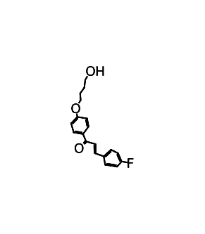 O=C(C=Cc1ccc(F)cc1)c1ccc(OCCCCO)cc1